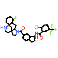 O=C(NC1CCc2ccc(C(=O)N3CCC4(CCNCC4)C3Cc3c(F)cccc3F)cc21)c1cc(C(F)(F)F)ccc1Cl